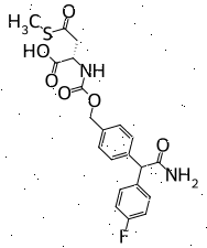 CSC(=O)C[C@H](NC(=O)OCc1ccc(C(C(N)=O)c2ccc(F)cc2)cc1)C(=O)O